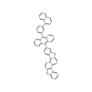 c1cc(-c2cccc3ccccc23)cc(-c2c3ccccc3c(-c3ccc4c(c3)sc3ccc5c(ccc6sc7ccccc7c65)c34)c3ccccc23)c1